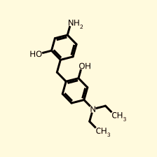 CCN(CC)c1ccc(Cc2ccc(N)cc2O)c(O)c1